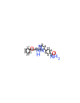 NC(=O)c1ccc(-c2ccnc(NCCOc3ccccc3)n2)cc1